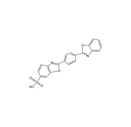 O=S(=O)(O)c1ccc2nc(-c3ccc(-c4nc5ccccc5o4)cc3)oc2c1